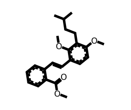 COC(=O)c1ccccc1/C=C/c1ccc(OC)c(CCC(C)C)c1OC